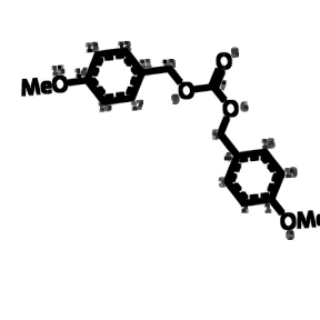 COc1ccc(COC(=O)OCc2ccc(OC)cc2)cc1